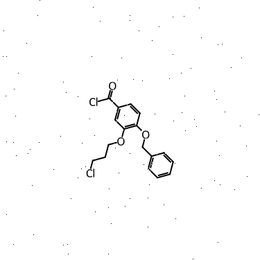 O=C(Cl)c1ccc(OCc2ccccc2)c(OCCCCl)c1